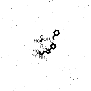 Cn1c(CC[C@@](C)(N)CO)ccc1-c1cccc(OCCC2CCCCC2)c1.O=C(O)C(=O)O